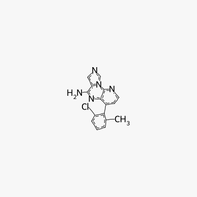 Cc1cccc(Cl)c1-c1ccnc2c1nc(N)c1cncn12